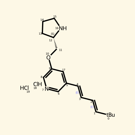 CC(C)(C)/C=C/C=C/c1cncc(OC[C@@H]2CCCN2)c1.Cl.Cl